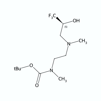 CN(CCN(C)C(=O)OC(C)(C)C)C[C@H](O)C(F)(F)F